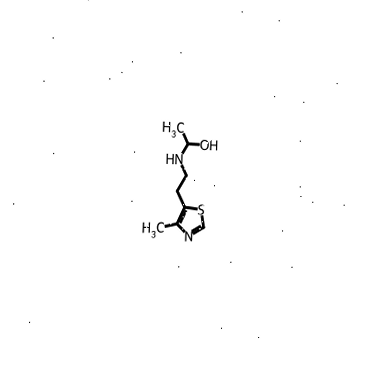 Cc1ncsc1CCNC(C)O